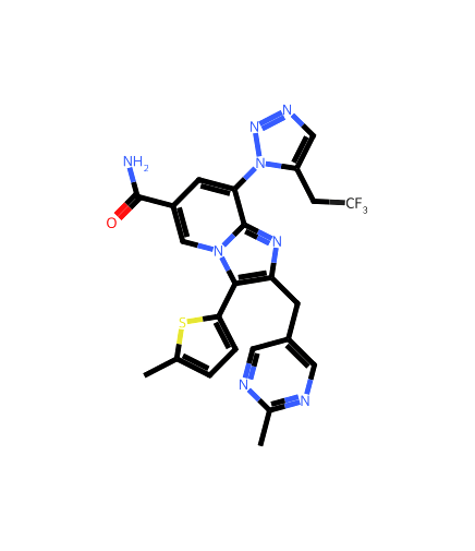 Cc1ncc(Cc2nc3c(-n4nncc4CC(F)(F)F)cc(C(N)=O)cn3c2-c2ccc(C)s2)cn1